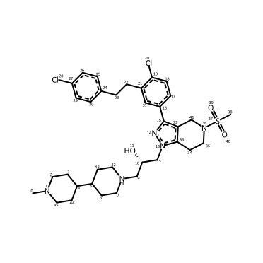 CN1CCC(C2CCN(C[C@H](O)Cn3nc(-c4ccc(Cl)c(CCc5ccc(Cl)cc5)c4)c4c3CCN(S(C)(=O)=O)C4)CC2)CC1